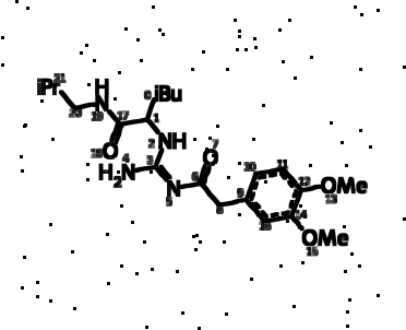 CCC(C)C(NC(N)=NC(=O)Cc1ccc(OC)c(OC)c1)C(=O)NCC(C)C